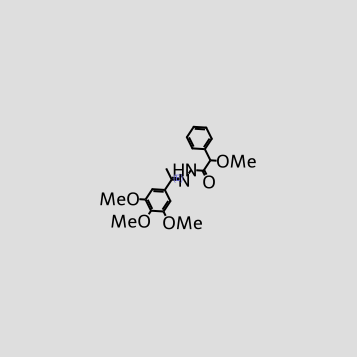 COc1cc(/C(C)=N/NC(=O)C(OC)c2ccccc2)cc(OC)c1OC